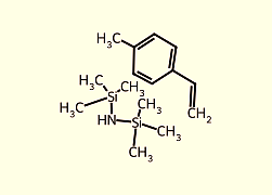 C=Cc1ccc(C)cc1.C[Si](C)(C)N[Si](C)(C)C